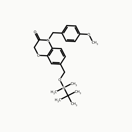 COc1ccc(CN2C(=O)COc3cc(CO[Si](C)(C)C(C)(C)C)ccc32)cc1